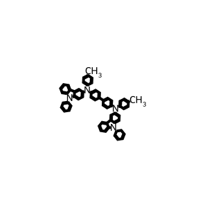 Cc1ccc(N(c2ccc(-c3ccc(N(c4ccc(C)cc4)c4ccc5c(c4)c4ccccc4n5C4C=CC=CC4)cc3)cc2)c2ccc3c(c2)c2ccccc2n3-c2ccccc2)cc1